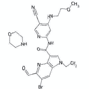 C1COCCN1.CCn1cc(C(=O)Nc2cc(NCCOC)c(C#N)cn2)c2nc(C=O)c(Br)cc21